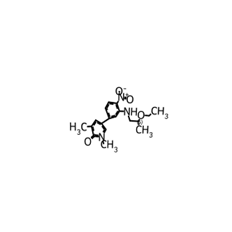 CCO[C@@H](C)CNc1cc(-c2cc(C)c(=O)n(C)c2)ccc1[N+](=O)[O-]